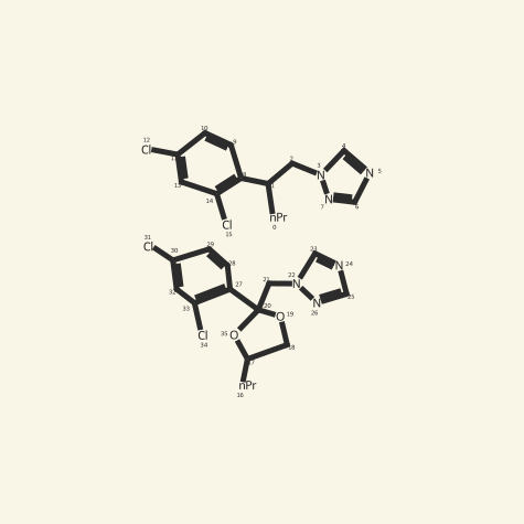 CCCC(Cn1cncn1)c1ccc(Cl)cc1Cl.CCCC1COC(Cn2cncn2)(c2ccc(Cl)cc2Cl)O1